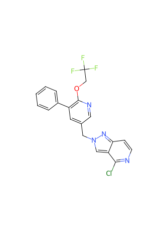 FC(F)(F)COc1ncc(Cn2cc3c(Cl)nccc3n2)cc1-c1ccccc1